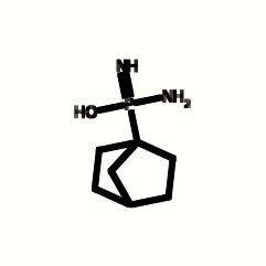 N=P(N)(O)C12CCC(CC1)C2